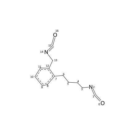 O=C=NCCCCc1ccccc1CN=C=O